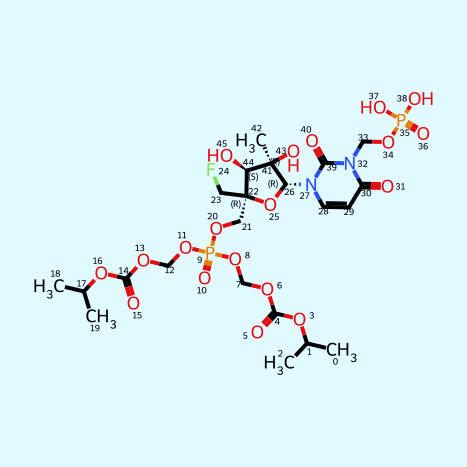 CC(C)OC(=O)OCOP(=O)(OCOC(=O)OC(C)C)OC[C@@]1(CF)O[C@@H](n2ccc(=O)n(COP(=O)(O)O)c2=O)[C@](C)(O)[C@@H]1O